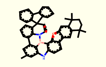 Cc1cc2c3c(c1)-c1cccc4c1N(B3c1c(ccc3c1oc1cc5c(cc13)C(C)(C)CCC5(C)C)N2)c1ccccc1C41c2ccccc2-c2ccccc21